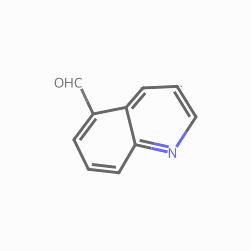 O=Cc1cccc2nc[c]cc12